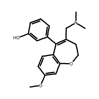 COc1ccc2c(c1)OCCC(CN(C)C)=C2c1cccc(O)c1